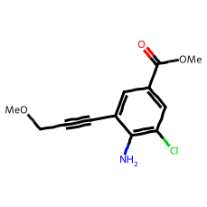 COCC#Cc1cc(C(=O)OC)cc(Cl)c1N